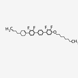 C=CCCC1CC=C(c2ccc(-c3ccc(-c4ccc(OCCCCCCCC)c(F)c4F)cc3)c(F)c2F)CC1